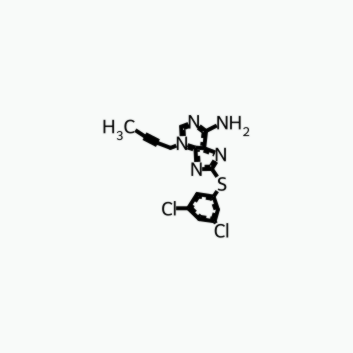 CC#CCn1cnc(N)c2nc(Sc3cc(Cl)cc(Cl)c3)nc1-2